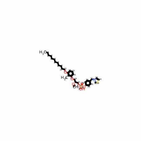 CCCCCCCCCCCCOc1cccc(OCC(COP(=O)(O)Oc2ccc(CN3C=CSC3)cc2)OC)c1C